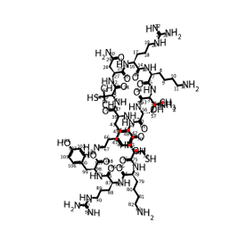 C[C@@H](O)[C@H](NC(=O)[C@H](CCCCN)NC(=O)[C@H](CCCNC(=N)N)NC(=O)[C@H](CC(N)=O)NC(=O)[C@@H](NC(=O)[C@@H](N)Cc1ccc(O)cc1)C(C)(C)S)C(=O)N[C@H](CCN)C(=O)N[C@@H](CCCCN)C(=O)N[C@@H](CS)C(=O)N[C@@H](CCCCN)C(=O)N[C@@H](CCCNC(=N)N)C(=O)N[C@@H](Cc1ccc(O)cc1)C(=O)O